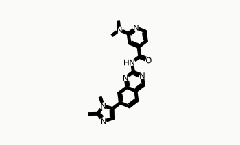 Cc1ncc(-c2ccc3cnc(NC(=O)c4ccnc(N(C)C)c4)nc3c2)n1C